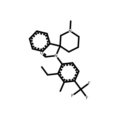 CCc1c(N(C=O)C2(c3ccccc3)CCCN(C)C2)ccc(C(F)(F)F)c1C